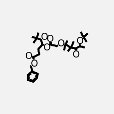 CC(OC(C)(C)C)C(=O)C(C)(C)C(C)(C)OCC(=O)OC(CCC(=O)OCc1ccccc1)C(=O)C(C)(C)C